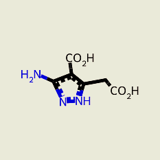 Nc1n[nH]c(CC(=O)O)c1C(=O)O